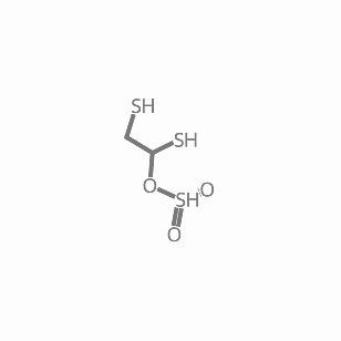 O=[SH](=O)OC(S)CS